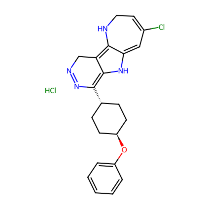 Cl.ClC1=CCNc2c3c([nH]c2=C1)=C([C@H]1CC[C@H](Oc2ccccc2)CC1)N=NC3